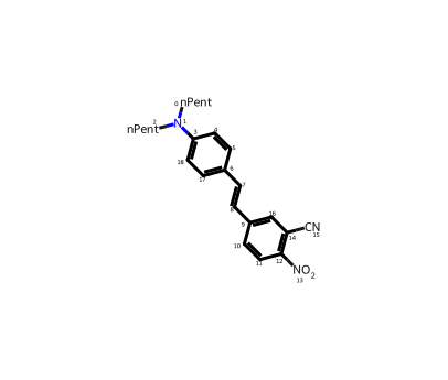 CCCCCN(CCCCC)c1ccc(C=Cc2ccc([N+](=O)[O-])c(C#N)c2)cc1